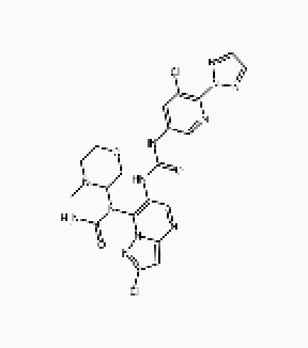 CN1CCOCC1N(C(N)=O)c1c(NC(=O)Nc2cnc(-n3nccn3)c(Cl)c2)cnc2cc(Cl)nn12